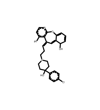 CC(C)c1ccnc2c1C(=CCCN1CCC(O)(c3ccc(Cl)cc3)CC1)C=C1C(=CC=CC1O)O2